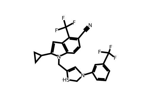 N#Cc1ccc2c(cc(C3CC3)n2CC2=CN(c3cccc(C(F)(F)F)c3)C[SH]2)c1C(F)(F)F